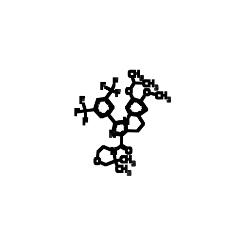 COc1cc2c(cc1OC(C)C)-n1c(-c3cc(C(F)(F)F)cc(C(F)(F)F)c3)nc(C(=O)N3CCOCC3(C)C)c1CC2